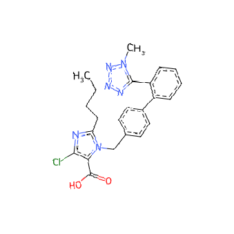 CCCCc1nc(Cl)c(C(=O)O)n1Cc1ccc(-c2ccccc2-c2nnnn2C)cc1